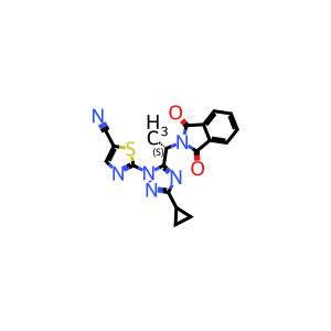 C[C@@H](c1nc(C2CC2)nn1-c1ncc(C#N)s1)N1C(=O)c2ccccc2C1=O